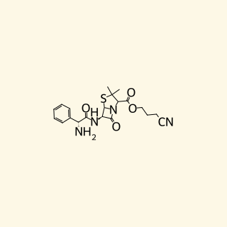 CC1(C)SC2[C@H](NC(=O)[C@H](N)c3ccccc3)C(=O)N2C1C(=O)OCCCC#N